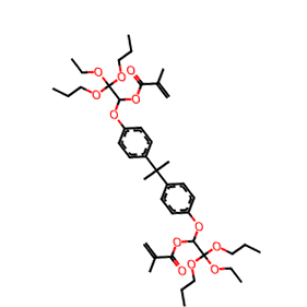 C=C(C)C(=O)OC(Oc1ccc(C(C)(C)c2ccc(OC(OC(=O)C(=C)C)C(OCC)(OCCC)OCCC)cc2)cc1)C(OCC)(OCCC)OCCC